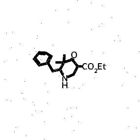 CCOC(=O)C1CNC(Cc2ccccc2)C(C)(C)C1=O